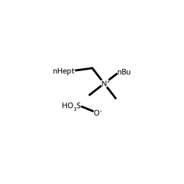 CCCCCCCC[N+](C)(C)CCCC.O=S(=O)([O-])O